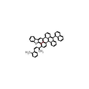 C=C(/C=C\c1ccccc1C)c1ccc(-c2c3ccccc3c(-c3cccc4ccccc34)c3cccc(-c4ccc5sc6ccccc6c5c4)c23)cc1